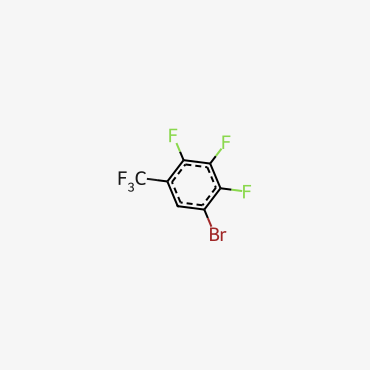 Fc1c(Br)cc(C(F)(F)F)c(F)c1F